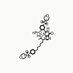 CCCOc1ccc(S(=O)(=O)N2CCOCC2)cc1-c1nc2c(ncn2C(CCCCCc2ccc(S(=O)(=O)N3CCOCC3)cc2)C(C)O)c(=O)[nH]1